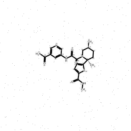 CNC(=O)c1ccc([C@]2(C)CC[C@H](C)CN2C(=O)C(=O)Nc2cncc(C(N)=O)c2)s1